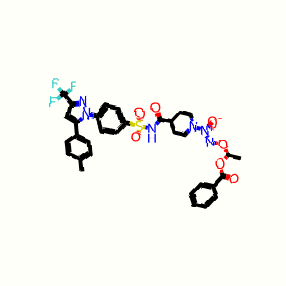 Cc1ccc(-c2cc(C(F)(F)F)nn2-c2ccc(S(=O)(=O)NC(=O)C3CCN([N+]([O-])=NOC(C)OC(=O)c4ccccc4)CC3)cc2)cc1